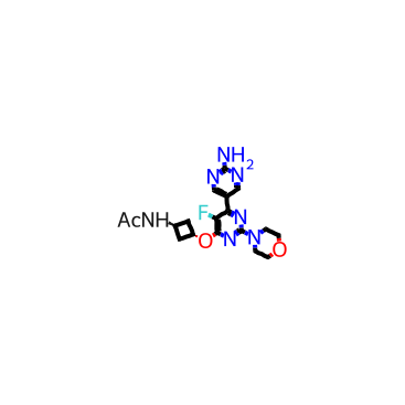 CC(=O)N[C@H]1C[C@H](Oc2nc(N3CCOCC3)nc(-c3cnc(N)nc3)c2F)C1